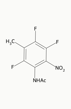 CC(=O)Nc1c(F)c(C)c(F)c(F)c1[N+](=O)[O-]